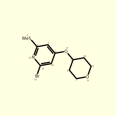 CSc1cc(OC2CCOCC2)cc(Br)n1